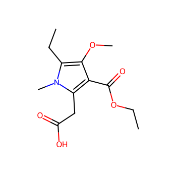 CCOC(=O)c1c(OC)c(CC)n(C)c1CC(=O)O